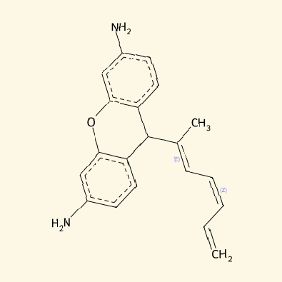 C=C/C=C\C=C(/C)C1c2ccc(N)cc2Oc2cc(N)ccc21